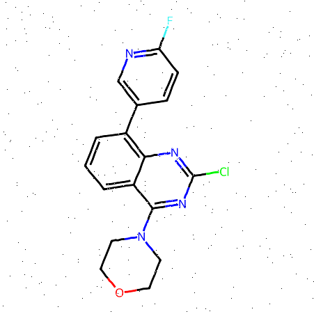 Fc1ccc(-c2cccc3c(N4CCOCC4)nc(Cl)nc23)cn1